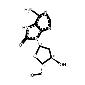 Nc1ncnc2c1[nH]c(=O)n2[C@@H]1C[C@@H](O)[C@H](CO)O1